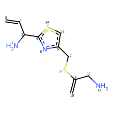 C=CC(N)c1nc(CSC(=C)CN)cs1